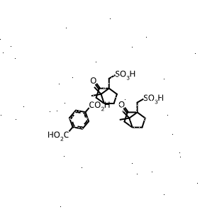 CC1(C)C2CCC1(CS(=O)(=O)O)C(=O)C2.CC1(C)C2CCC1(CS(=O)(=O)O)C(=O)C2.O=C(O)c1ccc(C(=O)O)cc1